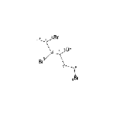 [CH2]C(Br)C(Br)C(Br)CCBr